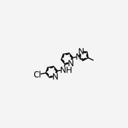 Cc1cnn(-c2cccc(Nc3ccc(Cl)cn3)n2)c1